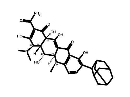 C[C@@H]1c2ccc(C3C4CC5CC(C4)CC3C5)c(O)c2C(=O)C2=C(O)[C@]3(O)C(=O)C(C(N)=O)=C(O)[C@H](N(C)C)[C@H]3[C@@H](O)[C@@H]21